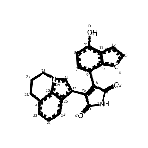 O=C1NC(=O)C(c2ccc(O)c3ccoc23)=C1c1cn2c3c(cccc13)CCC2